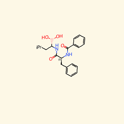 CC(C)CC(NC(=O)[C@H](Cc1ccccc1)NC(=O)c1ccccc1)B(O)O